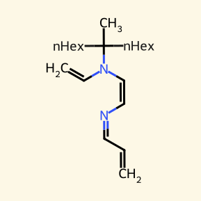 C=C/C=N\C=C/N(C=C)C(C)(CCCCCC)CCCCCC